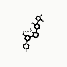 CC(=O)NCc1cc(-c2cccc(-c3ccc(N4CCN(C)C4=O)c(Cl)c3)c2O)cc(N2CCNCC2)c1